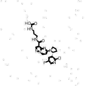 O=C(O)NCCCNC(=O)c1cnn2ccc(N3CCC[C@@H]3c3cc(F)cnc3Cl)nc12